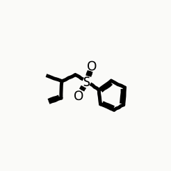 C=CC(C)CS(=O)(=O)c1ccccc1